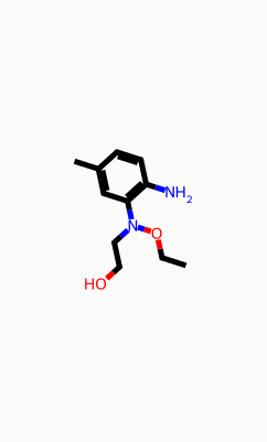 CCON(CCO)c1cc(C)ccc1N